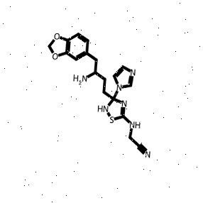 N#CCNC1=NC(CCC(N)Cc2ccc3c(c2)OCO3)(n2ccnc2)NS1